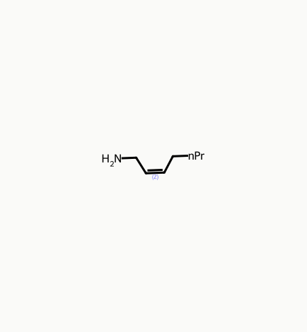 CCCC/C=C\CN